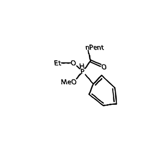 CCCCCC(=O)[PH](OC)(OCC)c1ccccc1